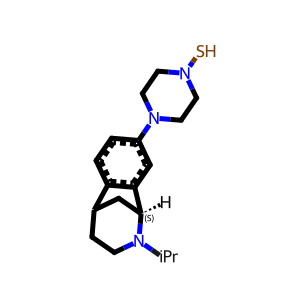 CC(C)N1CCC2C[C@H]1c1cc(N3CCN(S)CC3)ccc12